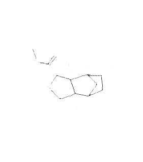 COC(=O)[C@H]1NC[C@@H]2[C@H]3C[C@@H]([C@@H]21)[C@H](F)C3